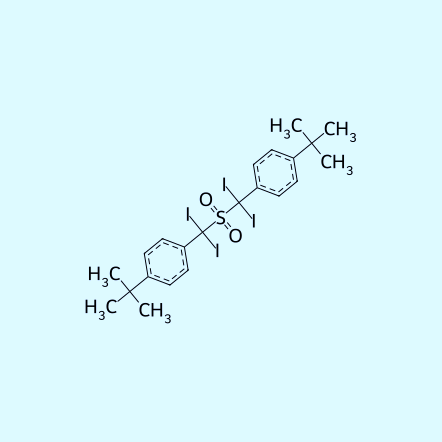 CC(C)(C)c1ccc(C(I)(I)S(=O)(=O)C(I)(I)c2ccc(C(C)(C)C)cc2)cc1